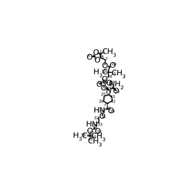 Cc1oc(=O)oc1COC(=O)C(C)(C)COS(=O)(=O)ON(C(N)=O)[C@H]1CC[C@H](C(=O)NOCCNC(=O)OC(C)(C)C)CC1